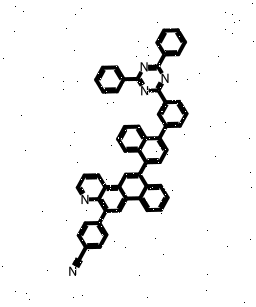 N#Cc1ccc(-c2cc3c4ccccc4c(-c4ccc(-c5cccc(-c6nc(-c7ccccc7)nc(-c7ccccc7)n6)c5)c5ccccc45)cc3c3cccnc23)cc1